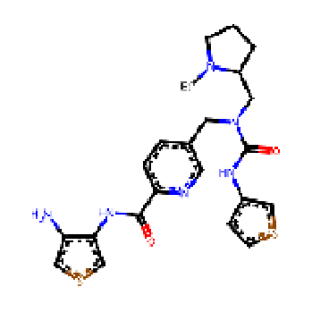 CCN1CCCC1CN(Cc1ccc(C(=O)Nc2cscc2N)nc1)C(=O)Nc1ccsc1